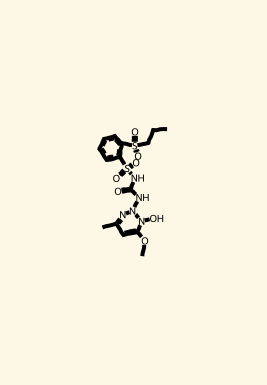 CCCS(=O)(=O)c1ccccc1S(=O)(=O)NC(=O)NN1N=C(C)C=C(OC)N1O